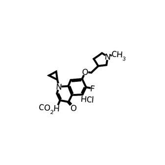 CN1CCC(COc2cc3c(cc2F)c(=O)c(C(=O)O)cn3C2CC2)C1.Cl